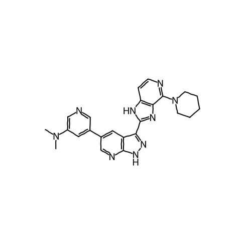 CN(C)c1cncc(-c2cnc3[nH]nc(-c4nc5c(N6CCCCC6)nccc5[nH]4)c3c2)c1